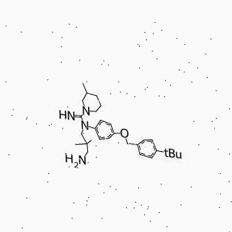 CC1CCCN(C(=N)N(CC(C)(C)CN)c2ccc(OCc3ccc(C(C)(C)C)cc3)cc2)C1